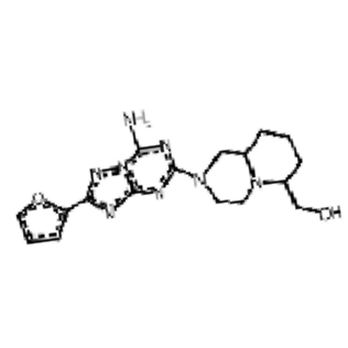 Nc1nc(N2CCN3C(CO)CCCC3C2)nc2nc(-c3ccco3)nn12